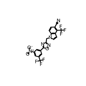 N#Cc1ccc2c(ccn2Cc2noc(-c3cc([N+](=O)[O-])cc(C(F)(F)F)c3)n2)c1C(F)(F)F